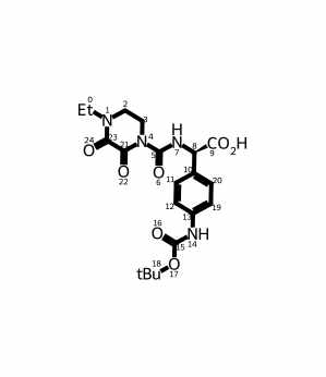 CCN1CCN(C(=O)N[C@@H](C(=O)O)c2ccc(NC(=O)OC(C)(C)C)cc2)C(=O)C1=O